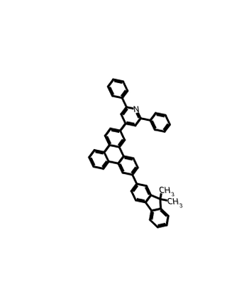 CC1(C)c2ccccc2-c2ccc(-c3ccc4c5cc(-c6cc(-c7ccccc7)nc(-c7ccccc7)c6)ccc5c5ccccc5c4c3)cc21